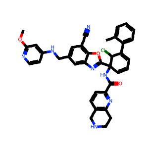 COc1cc(NCc2cc(C#N)c3oc(C4(NC(=O)c5ccc6c(n5)CCNC6)C=CC=C(c5ccccc5C)C4Cl)nc3c2)ccn1